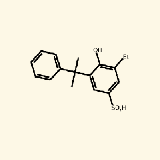 CCc1cc(S(=O)(=O)O)cc(C(C)(C)c2ccccc2)c1O